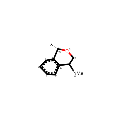 CNC1CO[C@@H](C)c2ccccc21